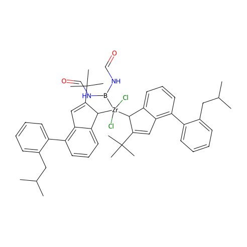 CC(C)Cc1ccccc1-c1cccc2c1C=C(C(C)(C)C)[CH]2[Zr]([Cl])([Cl])([B](NC=O)NC=O)[CH]1C(C(C)(C)C)=Cc2c(-c3ccccc3CC(C)C)cccc21